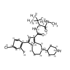 CNC(=O)[C@@H](NC(=O)c1nc(-c2ccc(Cl)cc2F)n2c1CN(C1CCNCC1)CCC2)C(C)(C)C